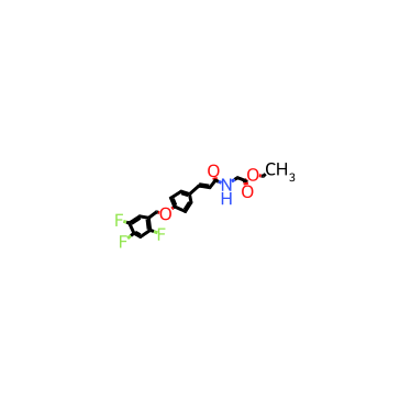 CCOC(=O)CNC(=O)/C=C/c1ccc(OCc2cc(F)c(F)cc2F)cc1